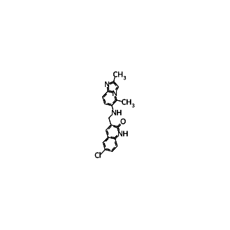 Cc1cn2c(C)c(NCc3cc4cc(Cl)ccc4[nH]c3=O)ccc2n1